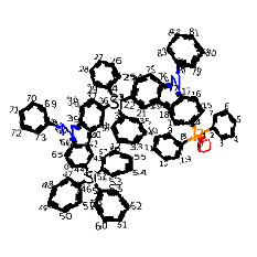 O=P(c1ccccc1)(c1ccccc1)c1ccc2c(c1)c1cc([Si](c3ccccc3)(c3ccccc3)c3ccc4c(c3)c3cc([Si](c5ccccc5)(c5ccccc5)c5ccccc5)ccc3n4-c3ccccc3)ccc1n2-c1ccccc1